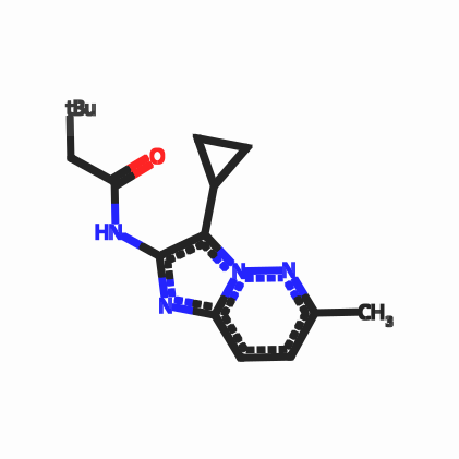 Cc1ccc2nc(NC(=O)CC(C)(C)C)c(C3CC3)n2n1